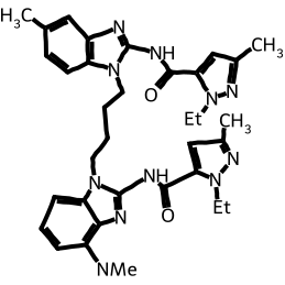 CCn1nc(C)cc1C(=O)Nc1nc2cc(C)ccc2n1CCCCn1c(NC(=O)c2cc(C)nn2CC)nc2c(NC)cccc21